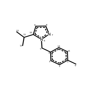 Cc1ccc(Cn2nccc2C(C)C)cc1